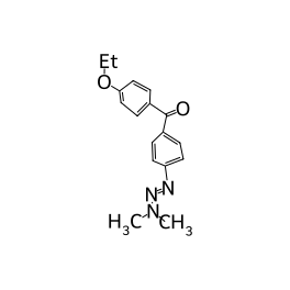 CCOc1ccc(C(=O)c2ccc(N=NN(C)C)cc2)cc1